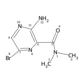 CN(C)C(=O)c1nc(Br)cnc1N